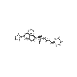 Cc1cc(N2CCCC2)nc2ccc(NC(=S)NCCCN3CCCCC3)cc12